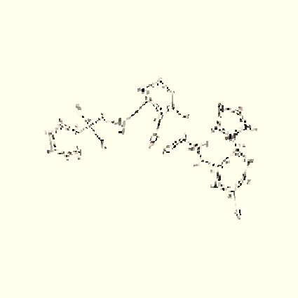 O=C(Cc1cccc(NCC(F)(F)c2ccccn2)[n+]1[O-])NCc1cc(Cl)ccc1-n1cncn1